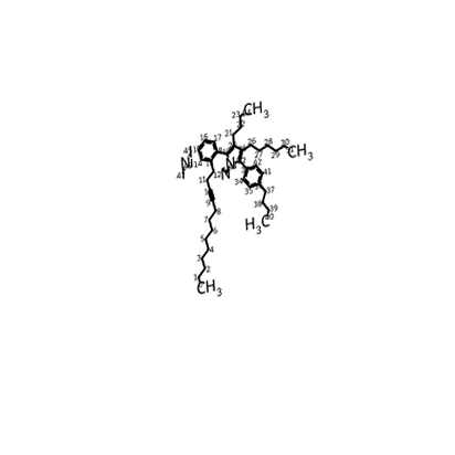 CCCCCCCCCC#CCCc1ccccc1C1=C(CCCC)C(CCCCCC)=C(c2ccc(CCCC)cc2)[N+]1=[N-].[I][Ni][I]